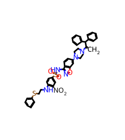 C=C(C(c1ccccc1)c1ccccc1)N1CCN(c2ccc3c(NS(=O)(=O)c4ccc(NCCSc5ccccc5)c([N+](=O)[O-])c4)noc3c2)CC1